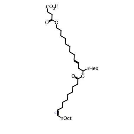 CCCCCCCC/C=C\CCCCCCCC(=O)OC(CC=CCCCCCCCCOC(=O)CCC(=O)O)CCCCCC